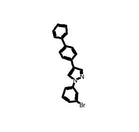 Brc1cccc(-n2cc(-c3ccc(-c4ccccc4)cc3)cn2)c1